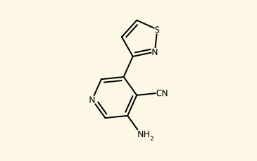 N#Cc1c(N)cncc1-c1ccsn1